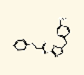 COc1ccc(Cc2cnc(NC(=O)CCc3ccccc3)s2)cc1